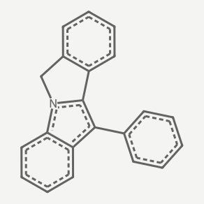 c1ccc(-c2c3n(c4ccccc24)Cc2ccccc2-3)cc1